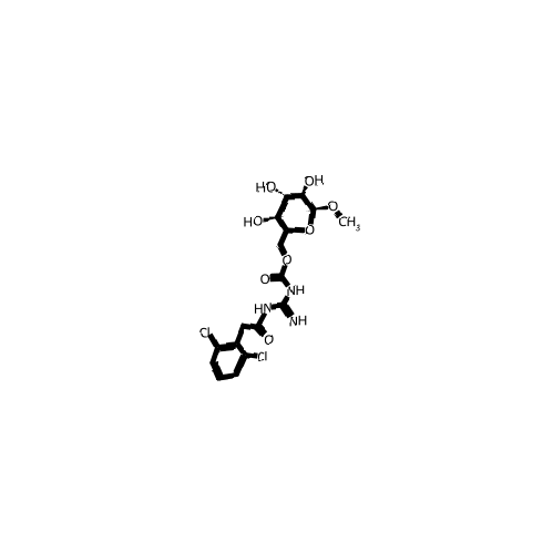 CO[C@H]1OC(COC(=O)NC(=N)NC(=O)Cc2c(Cl)cccc2Cl)[C@@H](O)[C@H](O)[C@H]1O